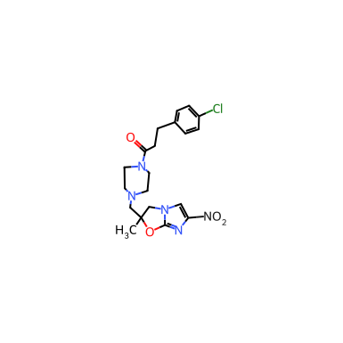 CC1(CN2CCN(C(=O)CCc3ccc(Cl)cc3)CC2)Cn2cc([N+](=O)[O-])nc2O1